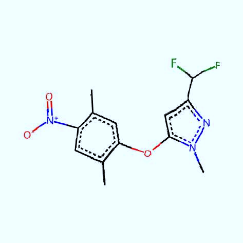 Cc1cc([N+](=O)[O-])c(C)cc1Oc1cc(C(F)F)nn1C